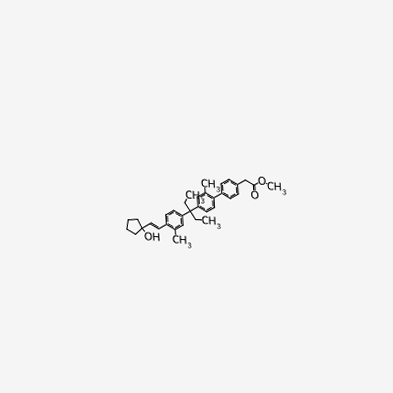 CCC(CC)(c1ccc(C=CC2(O)CCCC2)c(C)c1)c1ccc(-c2ccc(CC(=O)OC)cc2)c(C)c1